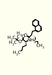 CCCC[C@H](NC(=O)[C@@H](CSCC)Cc1cccc2ccccc12)C(=O)OC(C)(C)C